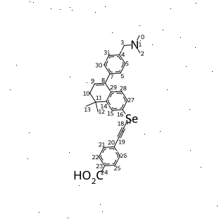 CN(C)Cc1ccc(C2=CCC(C)(C)c3cc([Se]C#Cc4ccc(C(=O)O)cc4)ccc32)cc1